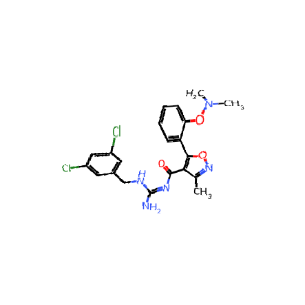 Cc1noc(-c2ccccc2ON(C)C)c1C(=O)N=C(N)NCc1cc(Cl)cc(Cl)c1